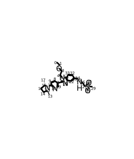 CCOCCn1c(-c2ccc(N3[C@@H](C)CC[C@@H]3C)nc2)nc2cc(CNCCS(C)(=O)=O)ccc21